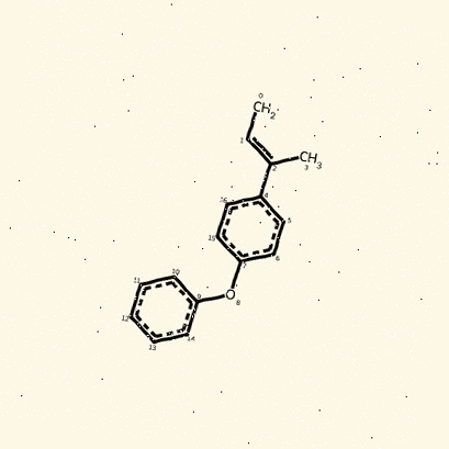 [CH2]C=C(C)c1ccc(Oc2ccccc2)cc1